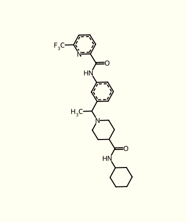 CC(c1cccc(NC(=O)c2cccc(C(F)(F)F)n2)c1)N1CCC(C(=O)NC2CCCCC2)CC1